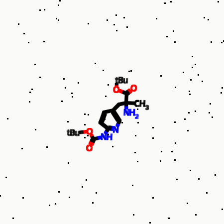 CC(C)(C)OC(=O)Nc1ccc(CC(C)(N)C(=O)OC(C)(C)C)cn1